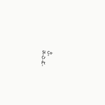 [Co].[Cr].[Pt].[Si]